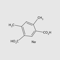 Cc1cc(C)c(C(=O)O)cc1C(=O)O.[Na]